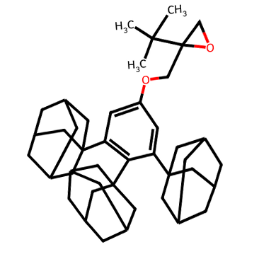 CC(C)(C)C1(COc2cc(C34CC5CC(CC(C5)C3)C4)c(C34CC5CC(CC(C5)C3)C4)c(C34CC5CC(CC(C5)C3)C4)c2)CO1